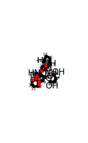 N[C@H](Cc1cc(F)c(F)cc1F)[C@@H]1C[C@H]2CC[C@@H](C1)N2C(=O)CCNS(=O)(=O)c1ccccc1.O=C(O)/C=C\C(=O)O